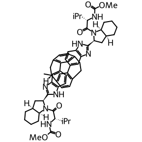 COC(=O)N[C@H](C(=O)N1[C@H](c2nc3cc(-c4cc5ccc4CCc4ccc(c(-c6ccc7[nH]c([C@@H]8C[C@@H]9CCCC[C@@H]9N8C(=O)[C@@H](NC(=O)OC)C(C)C)nc7c6)c4)C[C@H]5C)ccc3[nH]2)C[C@@H]2CCCC[C@@H]21)C(C)C